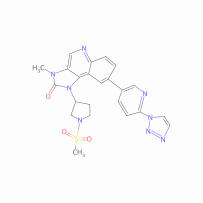 Cn1c(=O)n(C2CCN(S(C)(=O)=O)C2)c2c3cc(-c4ccc(-n5ccnn5)nc4)ccc3ncc21